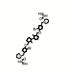 Cc1c(COc2ccc(CN3CCCC[C@H]3C(=O)NO)cc2Br)cccc1-c1cccc(COc2ccc(CN3CCCC[C@H]3C(=O)NO)cc2Br)c1C